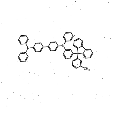 Cc1cccc(C2(c3cccc(N(c4ccccc4)c4ccc(-c5ccc(N(c6ccccc6)c6ccccc6)cc5)cc4)c3)c3ccccc3-c3ccccc32)c1